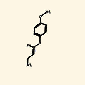 COc1ccc(O/[P+]([O-])=C/CN)cc1